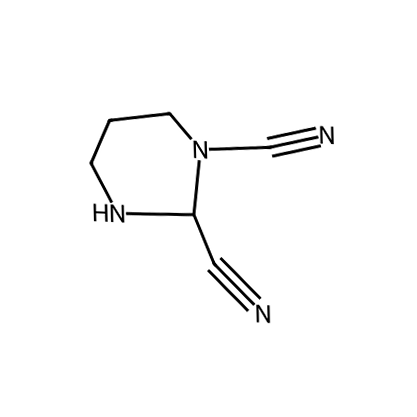 N#CC1NCCCN1C#N